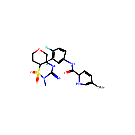 COC1=CNC(C(=O)Nc2ccc(F)c([C@]34COCCC3S(=O)(=O)N(C)C(=N)N4)c2)C=C1